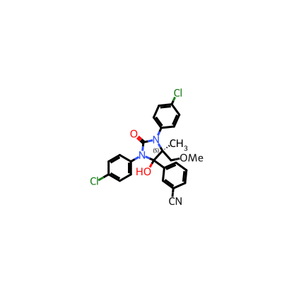 COC[C@]1(C)N(c2ccc(Cl)cc2)C(=O)N(c2ccc(Cl)cc2)C1(O)c1cccc(C#N)c1